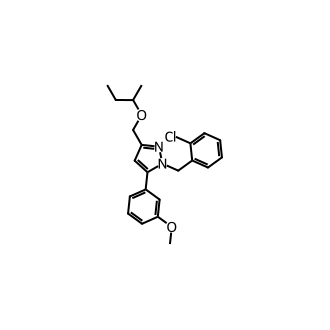 CCC(C)OCc1cc(-c2cccc(OC)c2)n(Cc2ccccc2Cl)n1